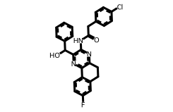 O=C(Cc1ccc(Cl)cc1)Nc1nc2c(nc1C(O)c1ccccc1)-c1ccc(F)cc1CC2